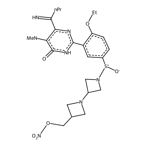 CCCC(=N)c1nc(-c2cc([S+]([O-])N3CC(N4CC(CO[N+](=O)[O-])C4)C3)ccc2OCC)[nH]c(=O)c1NC